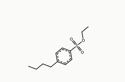 CCCCc1ccc(S(=O)(=O)OCC)cc1